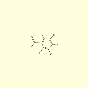 O=C(F)c1c(F)c(Cl)c(F)c(Cl)c1F